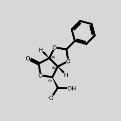 [O]C(O)[C@H]1OC(=O)[C@@H]2OC(c3ccccc3)O[C@H]12